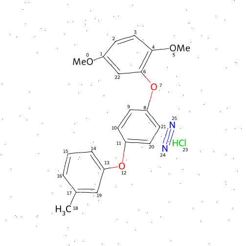 COc1ccc(OC)c(Oc2ccc(Oc3cccc(C)c3)cc2)c1.Cl.N#N